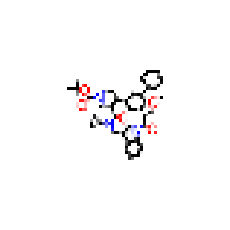 COCCC(=O)n1cc(CN(C(=O)C2=C(c3cccc(-c4ccccc4)c3)CCN(C(=O)OC(C)(C)C)C2)C2CC2)c2ccccc21